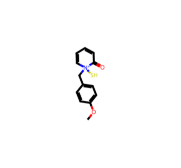 COc1ccc(C[N+]2(S)C=CC=CC2=O)cc1